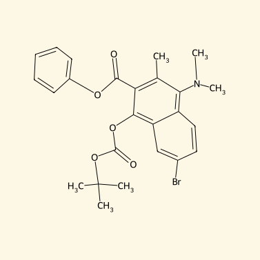 Cc1c(C(=O)Oc2ccccc2)c(OC(=O)OC(C)(C)C)c2cc(Br)ccc2c1N(C)C